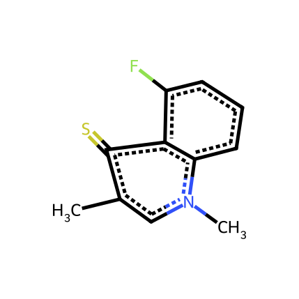 Cc1cn(C)c2cccc(F)c2c1=S